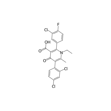 CCn1c(C)c(-c2ccc(Cl)cc2Cl)c(=O)c(C(=O)O)c1-c1ccc(F)c(Cl)c1